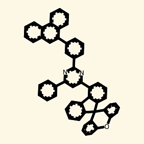 c1ccc(-c2cc(-c3cccc4c3-c3ccccc3C43c4ccccc4Oc4ccccc43)nc(-c3cccc(-c4cc5ccccc5c5ccccc45)c3)n2)cc1